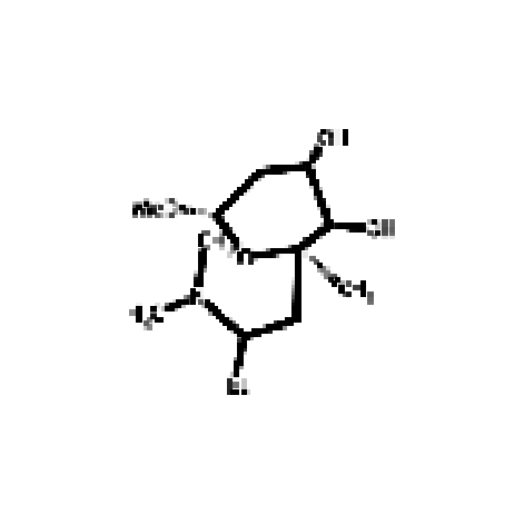 CCC(C[C@@]1(C)O[C@H](OC)C[C@@H](O)[C@H]1O)N(C)C